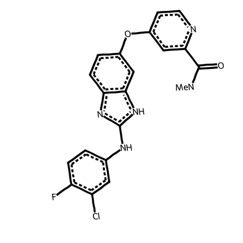 CNC(=O)c1cc(Oc2ccc3nc(Nc4ccc(F)c(Cl)c4)[nH]c3c2)ccn1